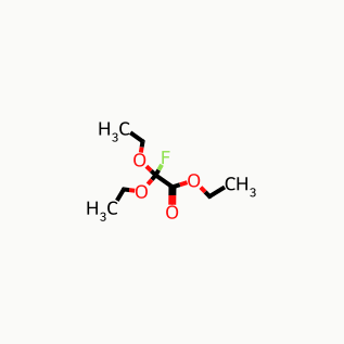 CCOC(=O)C(F)(OCC)OCC